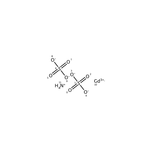 O=S(=O)([O-])[O-].O=S(=O)([O-])[O-].[Gd+3].[NH4+]